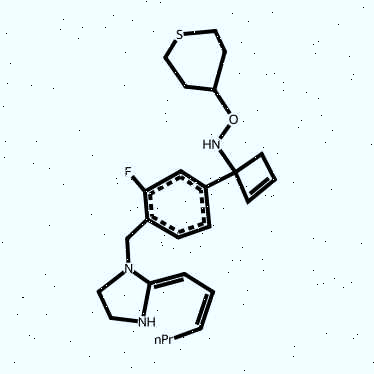 CCC/C=C\C=C1/NCCN1Cc1ccc(C2(NOC3CCSCC3)C=CC2)cc1F